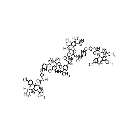 Cc1ncsc1-c1ccc([C@H](C)NC(=O)[C@@H]2C[C@@H](OCc3ncsc3-c3ccc([C@H](C)NC(=O)[C@@H]4C[C@@H](O)CN4C(=O)[C@H](C(C)C)n4cc(-c5ccc(O[C@H]6C[C@H](NC(=O)C[C@@H]7N=C(c8ccc(Cl)cc8)c8c(sc(C)c8C)-n8c(C)nnc87)C6)nc5)cn4)cc3)CN2C(=O)[C@@H](NC(=O)Cc2ccc(O[C@H]3C[C@@H](NC(=O)C[C@@H]4N=C(c5ccc(Cl)cc5)c5c(sc(C)c5C)-n5c(C)nnc54)C3)nc2)C(C)(C)C)cc1